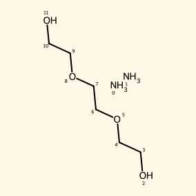 N.N.OCCOCCOCCO